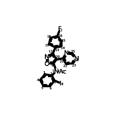 CC(=O)N(c1ccccc1I)c1onc(-c2ccc(F)cc2)c1-c1ccncn1